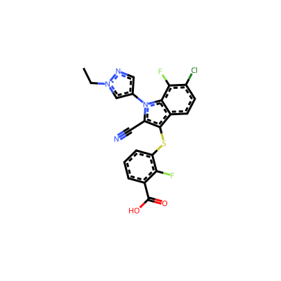 CCn1cc(-n2c(C#N)c(Sc3cccc(C(=O)O)c3F)c3ccc(Cl)c(F)c32)cn1